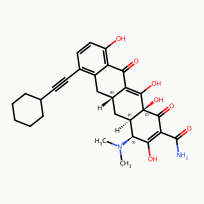 CN(C)[C@@H]1C(O)=C(C(N)=O)C(=O)[C@@]2(O)C(O)=C3C(=O)c4c(O)ccc(C#CC5CCCCC5)c4C[C@H]3C[C@H]12